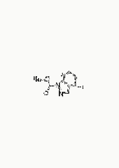 CC(C)(C)OC(=O)n1ncc2c(I)ccnc21